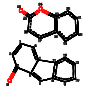 O=C1C=CC=C2C1=Cc1ccccc12.O=c1ccc2ccccc2o1